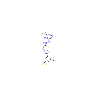 CC1C=NC=C(NNC(=O)/C=C\n2cnc(-c3cc(C(F)(F)F)cc(C(F)(F)F)c3)n2)N1